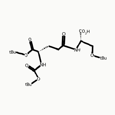 CC(C)(C)OC[C@H](NC(=O)CC[C@H](NC(=O)OC(C)(C)C)C(=O)OC(C)(C)C)C(=O)O